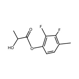 Cc1ccc(OC(=O)C(C)O)c(F)c1F